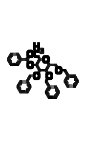 CC1OC(COCc2ccccc2)C(OCc2ccccc2)C(OCc2ccccc2)C1OC(=O)c1ccccc1